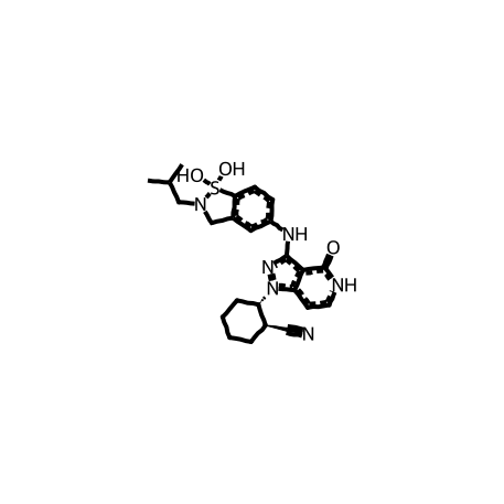 CC(C)CN1Cc2cc(Nc3nn([C@H]4CCCC[C@@H]4C#N)c4cc[nH]c(=O)c34)ccc2S1(O)O